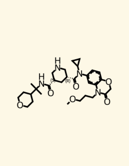 COCCCN1C(=O)COc2ccc(N(C(=O)[C@H]3CNC[C@@H](C(=O)NC(C)(C)C4CCOCC4)C3)C3CC3)cc21